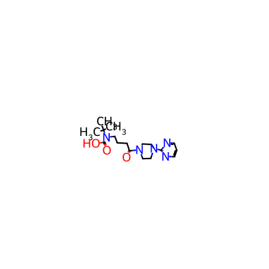 CC(C)(C)N(CCCC(=O)N1CCN(c2ncccn2)CC1)C(=O)O